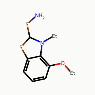 CCOc1cccc2c1N(CC)C(SN)S2